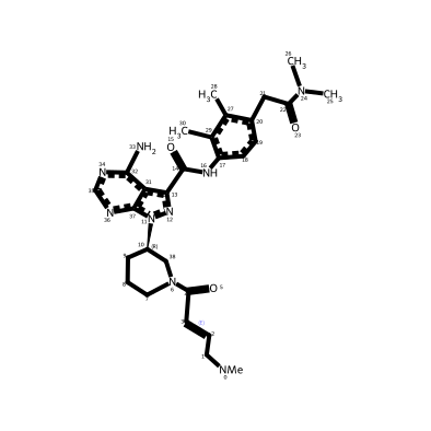 CNC/C=C/C(=O)N1CCC[C@@H](n2nc(C(=O)Nc3ccc(CC(=O)N(C)C)c(C)c3C)c3c(N)ncnc32)C1